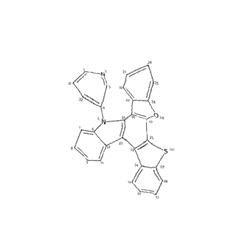 c1cncc(-n2c3ccccc3c3c4c5ccccc5sc4c4oc5ccccc5c4c32)c1